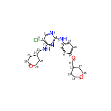 Clc1cnc(Nc2ccc(OCC3CCOCC3)cc2)nc1NCC1CCOCC1